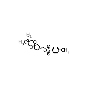 Cc1ccc(S(=O)(=O)OC[C@H]2CCC3(C2)OCC(C)(C)CO3)cc1